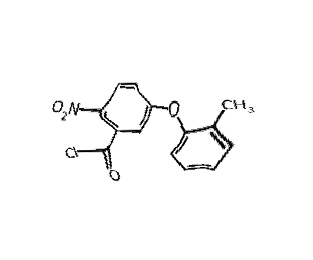 Cc1ccccc1Oc1ccc([N+](=O)[O-])c(C(=O)Cl)c1